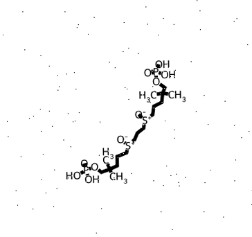 CC(C)(CCC[S+]([O-])CCC[S+]([O-])CCCC(C)(C)COP(=O)(O)O)COP(=O)(O)O